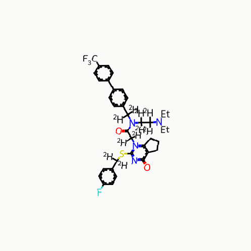 [2H]C([2H])(Sc1nc(=O)c2c(n1C([2H])([2H])C(=O)N(C([2H])([2H])c1ccc(-c3ccc(C(F)(F)F)cc3)cc1)C([2H])([2H])C([2H])([2H])N(CC)CC)CCC2)c1ccc(F)cc1